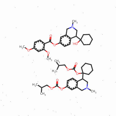 CC(C)COC(=O)Oc1ccc2c(c1)CN(C)CC2C1(OC(=O)OCC(C)C)CCCCC1.COc1ccc(C(=O)Oc2ccc3c(c2)CN(C)CC3C2(O)CCCCC2)c(OC)c1